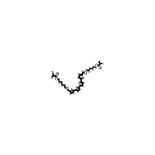 C=C(C)C(=O)OCCCCCCOCc1ccc(-c2ccc(-c3ccc(-c4ccc(COCCCCCCOC(=O)C(=C)C)s4)s3)s2)s1